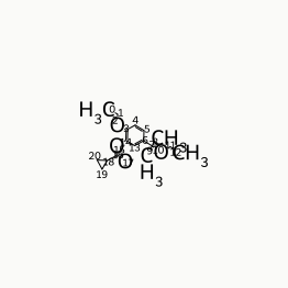 CCOc1ccc(C(C)(C)OCC)cc1OC(=O)C1CC1